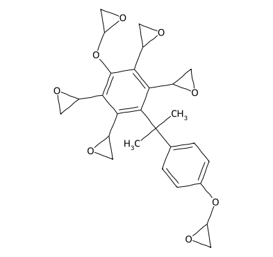 CC(C)(c1ccc(OC2CO2)cc1)c1c(C2CO2)c(C2CO2)c(OC2CO2)c(C2CO2)c1C1CO1